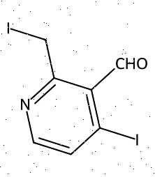 O=Cc1c(I)ccnc1CI